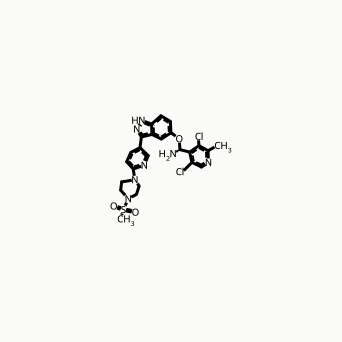 Cc1ncc(Cl)c([C@@H](N)Oc2ccc3[nH]nc(-c4ccc(N5CCN(S(C)(=O)=O)CC5)nc4)c3c2)c1Cl